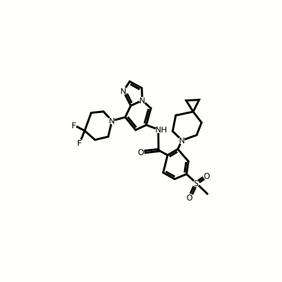 CS(=O)(=O)c1ccc(C(=O)Nc2cc(N3CCC(F)(F)CC3)c3nccn3c2)c(N2CCC3(CC2)CC3)c1